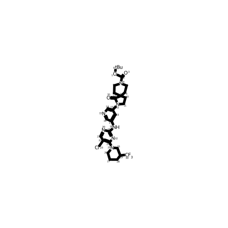 CC(C)(C)OC(=O)N1CCC2(CC1)CCN(c1cncc(Nc3ncc(Cl)c(N4CCCC(C(F)(F)F)C4)n3)c1)C2=O